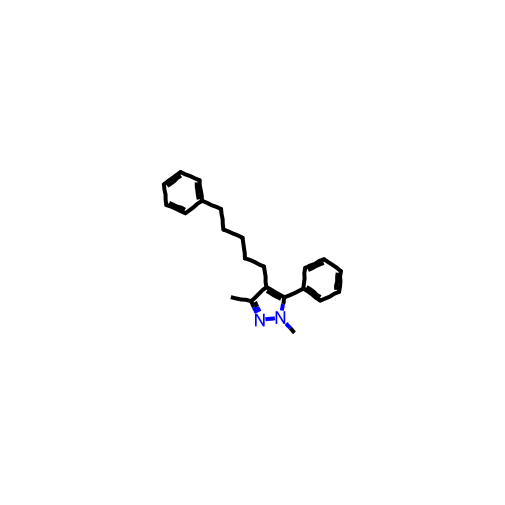 Cc1nn(C)c(-c2ccccc2)c1CCCCCc1ccccc1